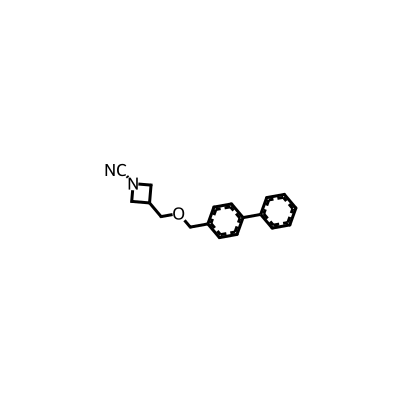 N#CN1CC(COCc2ccc(-c3ccccc3)cc2)C1